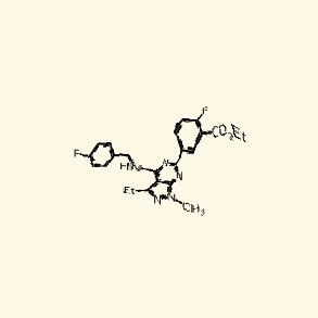 CCOC(=O)c1cc(-c2nc(NCc3ccc(F)cc3)c3c(CC)nn(C)c3n2)ccc1F